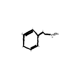 CCCCCC1C=CCC=C1